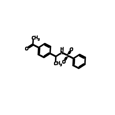 CC(=O)c1ccc(C(C)NS(=O)(=O)c2ccccc2)cc1